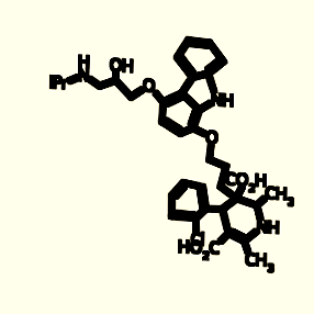 CC1=C(C(=O)O)C(c2ccccc2Cl)C(CCCOc2ccc(OCC(O)CNC(C)C)c3c2[nH]c2ccccc23)(C(=O)O)C(C)N1